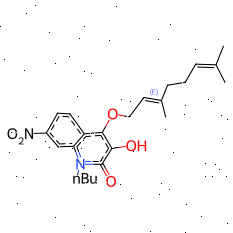 CCCCn1c(=O)c(O)c(OC/C=C(\C)CCC=C(C)C)c2ccc([N+](=O)[O-])cc21